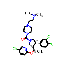 C[C@H](Oc1ccc(Cl)cn1)[C@@H]1CN(C(=O)N2CCN(CCN(C)C)CC2)C[C@@H]1c1ccc(Cl)c(Cl)c1